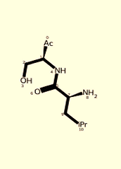 CC(=O)[C@H](CO)NC(=O)[C@@H](N)CC(C)C